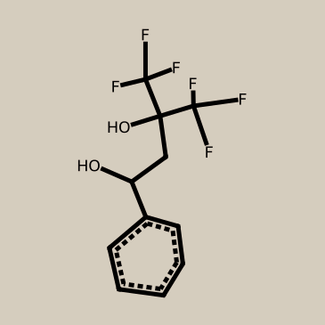 OC(CC(O)(C(F)(F)F)C(F)(F)F)c1ccccc1